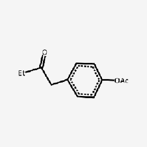 CCC(=O)Cc1ccc(OC(C)=O)cc1